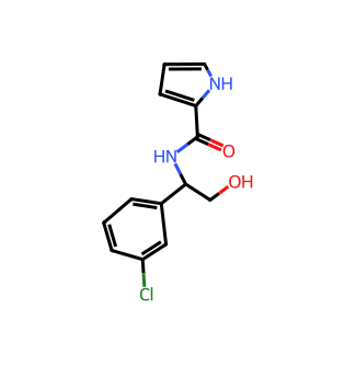 O=C(NC(CO)c1cccc(Cl)c1)c1ccc[nH]1